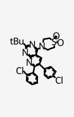 CC(C)(C)c1nc(N2CCS(=O)(=O)CC2)c2cc(-c3ccc(Cl)cc3)c(-c3ccccc3Cl)nc2n1